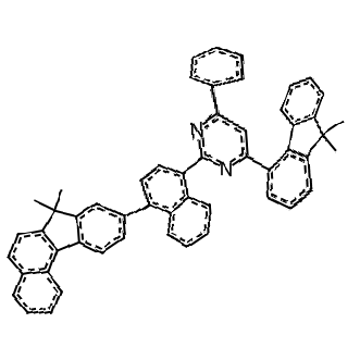 CC1(C)c2ccccc2-c2c(-c3cc(-c4ccccc4)nc(-c4ccc(-c5ccc6c(c5)C(C)(C)c5ccc7ccccc7c5-6)c5ccccc45)n3)cccc21